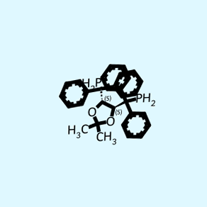 CC1(C)O[C@H](C(P)(c2ccccc2)c2ccccc2)[C@@H](C(P)(c2ccccc2)c2ccccc2)O1